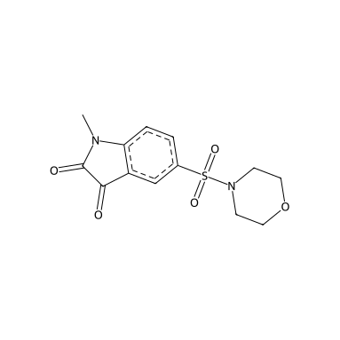 CN1C(=O)C(=O)c2cc(S(=O)(=O)N3CCOCC3)ccc21